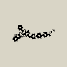 COCOC(C)c1ccc(-c2ccc(N3CCC(Cc4nc(C)c(OCc5ccccc5)c(C(=O)NC(Cc5ccccc5)C(=O)O)n4)CC3)cc2)nc1